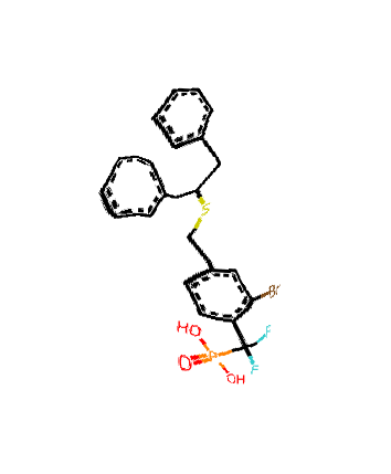 O=P(O)(O)C(F)(F)c1ccc(CSC(Cc2ccccc2)c2ccccc2)cc1Br